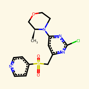 C[C@H]1COCCN1c1cc(CS(=O)(=O)c2ccncc2)nc(Cl)n1